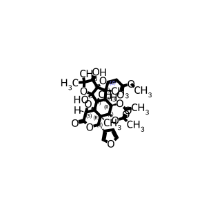 COC(=O)/C=C\[C@]1(C)[C@H]2[C@@H](OC(C)=O)[C@@H](OC(C)=O)[C@@]3(C)[C@H](c4ccoc4)OC(=O)[C@H]4O[C@]43[C@]2(C)[C@]2(O)OC(C)(C)C(=O)[C@@]21O